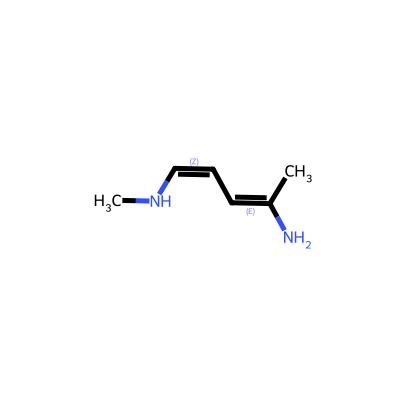 CN/C=C\C=C(/C)N